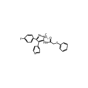 Cn1nc(-c2ccc(F)cc2)c(-c2ccncc2)c1NC(=O)CSc1ccccc1